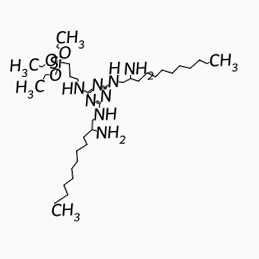 CCCCCCCCCCC(N)CNc1nc(NCCC[Si](OCC)(OCC)OCC)nc(NCC(N)CCCCCCCCCC)n1